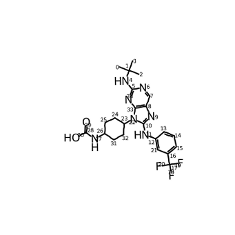 CC(C)(C)Nc1ncc2nc(Nc3cccc(C(F)(F)F)c3)n(C3CCC(NC(=O)O)CC3)c2n1